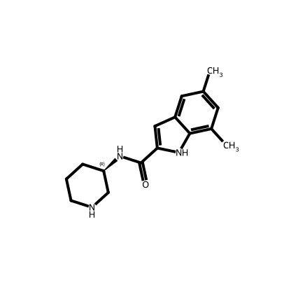 Cc1cc(C)c2[nH]c(C(=O)N[C@@H]3CCCNC3)cc2c1